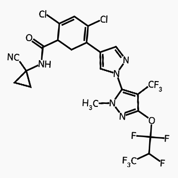 Cn1nc(OC(F)(F)C(F)C(F)(F)F)c(C(F)(F)F)c1-n1cc(C2=C(Cl)C=C(Cl)C(C(=O)NC3(C#N)CC3)C2)cn1